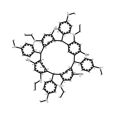 CCOc1cc(O)c2cc1C(c1ccc(OC)cc1)c1cc(c(OCC)cc1O)C(c1ccc(OC)cc1)c1cc(c(OCC)cc1O)C(c1ccc(OC)cc1)c1cc(c(O)cc1OCC)C2c1ccc(OC)cc1